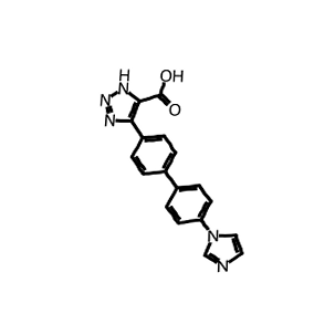 O=C(O)c1[nH]nnc1-c1ccc(-c2ccc(-n3ccnc3)cc2)cc1